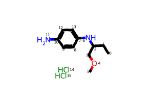 CCC(COC)Nc1ccc(N)cc1.Cl.Cl